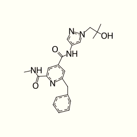 CNC(=O)c1cc(C(=O)Nc2cnn(CC(C)(C)O)c2)cc(Cc2ccccc2)n1